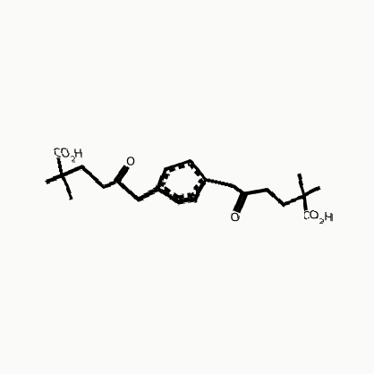 CC(C)(CCC(=O)Cc1ccc(CC(=O)CCC(C)(C)C(=O)O)cc1)C(=O)O